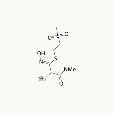 CNC(=O)C(C(=NO)SCCS(C)(=O)=O)C(C)(C)C